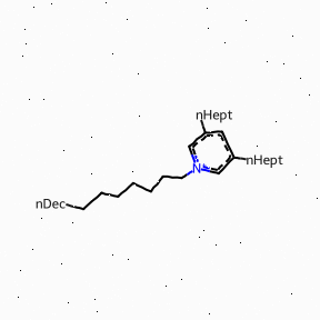 CCCCCCCCCCCCCCCCC[n+]1cc(CCCCCCC)cc(CCCCCCC)c1